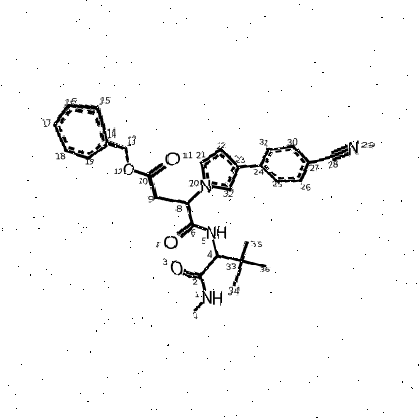 CNC(=O)C(NC(=O)C(CC(=O)OCc1ccccc1)n1ccc(-c2ccc(C#N)cc2)c1)C(C)(C)C